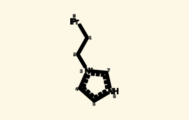 CC(C)CC[n+]1cc[nH]c1